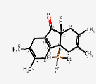 CCS(CC)(CC)[C@]12CC(C)=C(C)C[C@H]1C(=O)C1=C2CC(C)=C(C)C1